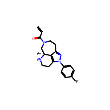 C=CC(=O)N1CCc2nn(-c3ccc(C(C)C)cc3)c3c2[C@H](C1)NCC3